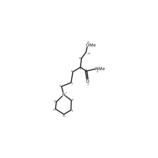 CNC(=O)C(CCCN1CCCCC1)CCOC